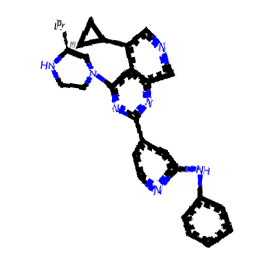 CC(C)[C@H]1CN(c2nc(-c3ccnc(Nc4ccccc4)c3)nc3cncc(C4CC4)c23)CCN1